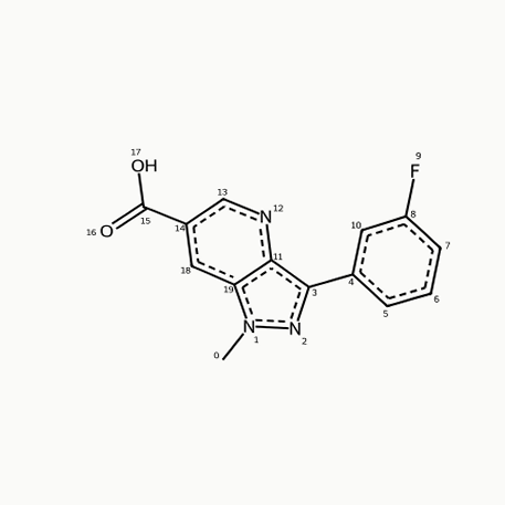 Cn1nc(-c2cccc(F)c2)c2ncc(C(=O)O)cc21